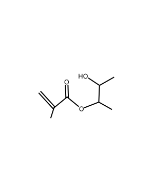 C=C(C)C(=O)OC(C)C(C)O